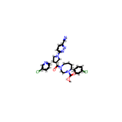 COC(=O)N1CCN(C(=O)[C@@H]2CN(c3ccc(C#N)nn3)C[C@H]2c2ccc(Cl)cn2)CCC[C@H]1c1ccc(Cl)cc1